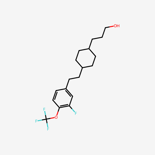 OCCCC1CCC(CCc2ccc(OC(F)(F)F)c(F)c2)CC1